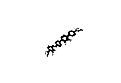 CCCC(O)C1CCC(c2ccc(-c3ccc(CCc4ccc(C5CO5)c(F)c4F)cc3)c(F)c2F)CC1